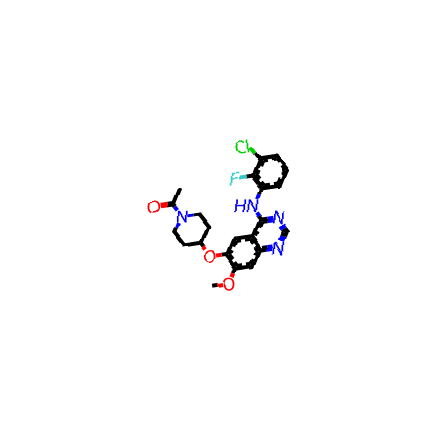 COc1cc2ncnc(Nc3cccc(Cl)c3F)c2cc1OC1CCN(C(C)=O)CC1